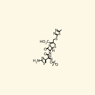 Cc1nnc(SCC2=C(C(=O)O)N3C(=O)[C@@H](NC(=O)C(=NOP(C)(C)=O)c4csc(N)n4)[C@@H]3SC2)s1